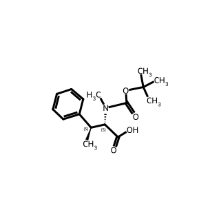 C[C@@H](c1ccccc1)[C@@H](C(=O)O)N(C)C(=O)OC(C)(C)C